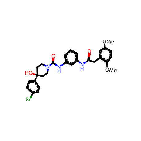 COc1ccc(OC)c(CC(=O)Nc2cccc(NC(=O)N3CCC(O)(c4ccc(Br)cc4)CC3)c2)c1